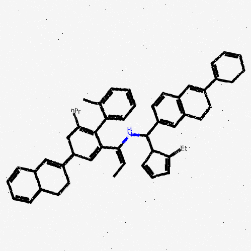 CC=C(NC(c1ccc2c(c1)CCC(C1=CC=CCC1)=C2)C1C=CC=C1CC)C1=CC(C2=CC3C=CC=CC3CC2)CC(CCC)=C1c1ccccc1C